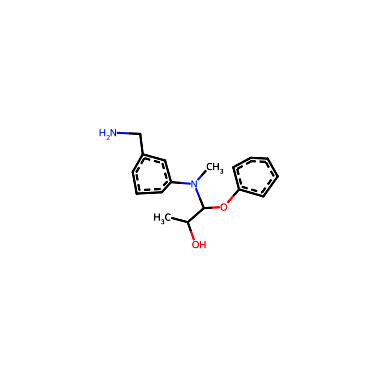 CC(O)C(Oc1ccccc1)N(C)c1cccc(CN)c1